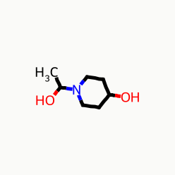 CC(O)N1CCC(O)CC1